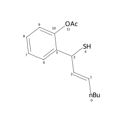 CCCCC=CC(S)c1ccccc1OC(C)=O